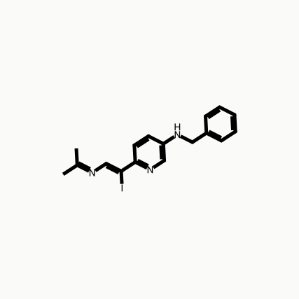 CC(C)=N/C=C(\I)c1ccc(NCc2ccccc2)cn1